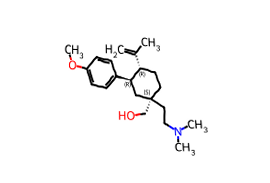 C=C(C)[C@@H]1CC[C@@](CO)(CCN(C)C)C[C@H]1c1ccc(OC)cc1